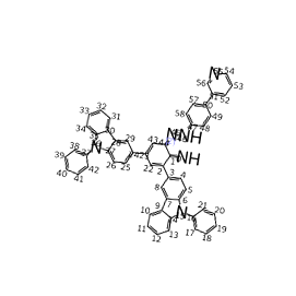 N=C1C(c2ccc3c(c2)c2ccccc2n3-c2ccccc2)=CC(c2ccc3c(c2)c2ccccc2n3-c2ccccc2)=C/C1=N/Nc1ccc(-c2cccnc2)cc1